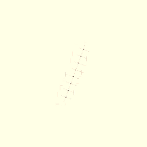 CCC(F)(F)C(F)(F)C(F)(F)C(F)(F)C(F)(F)C(F)(F)C(F)(F)C(O)(F)F